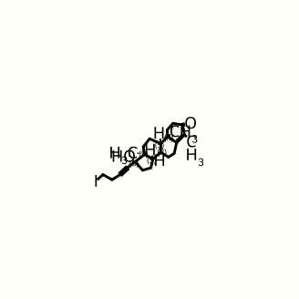 CC1=C2CC[C@@H]3[C@H](CC[C@@]4(C)[C@H]3CC[C@@]4(O)C#CCCI)[C@@]2(C)CCC1=O